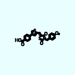 COc1ccc(CN2C(=O)S/C(=C\c3cc(C4=CC=C(C(=O)O)CC4)cs3)C2=O)cc1